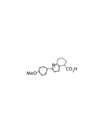 COc1ccc(-c2ccc3c(n2)CCCC3C(=O)O)cc1